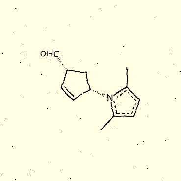 Cc1ccc(C)n1[C@@H]1C=C[C@H](C=O)C1